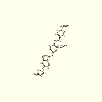 COc1ccc(COc2ccc(Cn3cnc4cc(-c5cnn(C)c5)cnc43)cc2OC)cc1